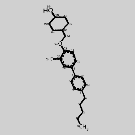 CCCCCc1ccc(-c2ccc(OCC3CCC(O)CC3)c(F)c2)cc1